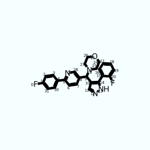 Fc1ccc(-c2ccc(C(c3cn[nH]c3-c3ccccc3F)N3CCOCC3)cn2)cc1